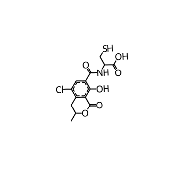 CC1Cc2c(Cl)cc(C(=O)NC(CS)C(=O)O)c(O)c2C(=O)O1